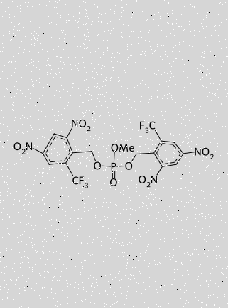 COP(=O)(OCc1c([N+](=O)[O-])cc([N+](=O)[O-])cc1C(F)(F)F)OCc1c([N+](=O)[O-])cc([N+](=O)[O-])cc1C(F)(F)F